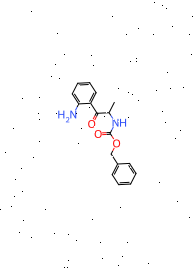 CC(NC(=O)OCc1ccccc1)C(=O)c1ccccc1N